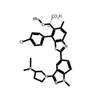 Cc1cc2nc(-c3ccc4c(c3)c(N3CCC(N(C)C)C3)nn4C)sc2c(-c2ccc(Cl)cc2)c1[C@H](OC(C)(C)C)C(=O)O